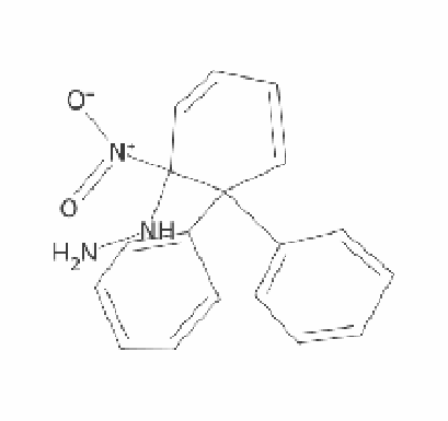 NNC1([N+](=O)[O-])C=CC=CC1(c1ccccc1)c1ccccc1